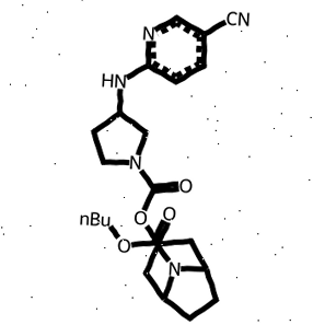 CCCCOC(=O)N1C2CCC1CC(OC(=O)N1CCC(Nc3ccc(C#N)cn3)C1)C2